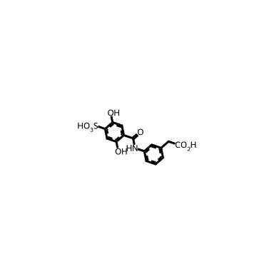 O=C(O)Cc1cccc(NC(=O)c2cc(O)c(S(=O)(=O)O)cc2O)c1